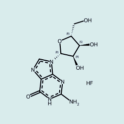 F.Nc1nc2c(ncn2[C@@H]2O[C@H](CO)[C@@H](O)[C@H]2O)c(=O)[nH]1